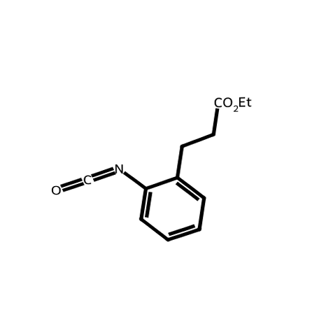 CCOC(=O)CCc1ccccc1N=C=O